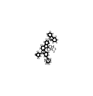 CC1(C)c2cc(-n3c4ccccc4c4ccccc43)ccc2-c2ccc3c(c21)c1ccc(-c2ncccn2)cc1n3-c1ccccc1